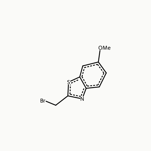 COc1ccc2nc(CBr)sc2c1